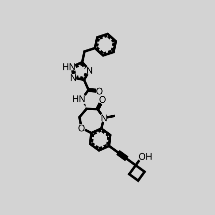 CN1C(=O)[C@@H](NC(=O)c2n[nH]c(Cc3ccccc3)n2)COc2ccc(C#CC3(O)CCC3)cc21